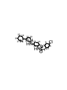 O=S(=O)(Cc1ccc(Cl)cc1)Nc1cccc(Nc2nccc(-c3ccccn3)n2)c1